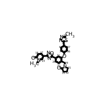 Cc1nnc(-c2ccc(Oc3cc(-c4nc(-c5ccc(=O)n(C)c5)no4)ccc3CN3CCCC3=O)cc2)s1